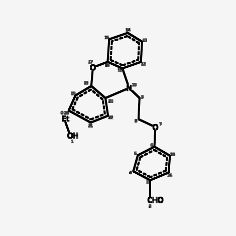 CCO.O=Cc1ccc(OCCN2c3ccccc3Oc3ccccc32)cc1